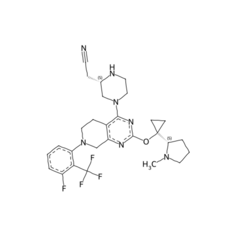 CN1CCC[C@H]1C1(Oc2nc3c(c(N4CCN[C@@H](CC#N)C4)n2)CCN(c2cccc(F)c2C(F)(F)F)C3)CC1